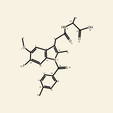 COc1cc2c(CC(=O)NC(C)C(=O)O)c(C)n(C(=S)c3ccc(C)cc3)c2cc1F